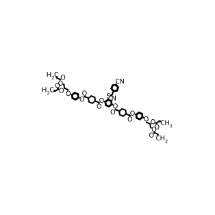 C=CC(=O)OCC(COc1ccc(OC(=O)C2CCC(C(=O)Oc3ccc(OC(=O)C4CCC(C(=O)Oc5ccc(OCC(COC(=O)C=C)OC(=O)C=C)cc5)CC4)c4sc(-c5ccc(C#N)cc5)nc34)CC2)cc1)OC(=O)C=C